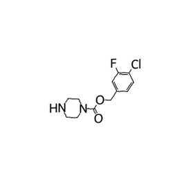 O=C(OCc1ccc(Cl)c(F)c1)N1CCNCC1